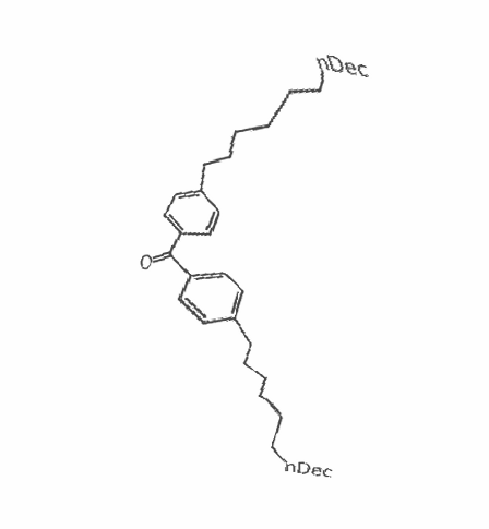 CCCCCCCCCCCCCCCCc1ccc(C(=O)c2ccc(CCCCCCCCCCCCCCCC)cc2)cc1